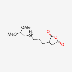 COC(C[SiH2]CCCC1CC(=O)OC1=O)OC